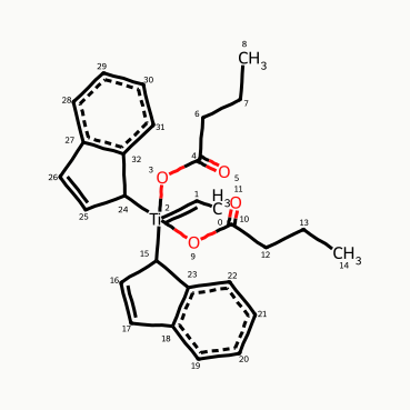 C[CH]=[Ti]([O]C(=O)CCC)([O]C(=O)CCC)([CH]1C=Cc2ccccc21)[CH]1C=Cc2ccccc21